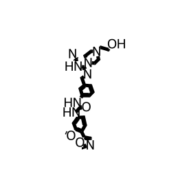 COc1cc(NC(=O)Nc2cccc(C/N=C(\NC#N)N3CCN(CCO)CC3)c2)ccc1-c1cnco1